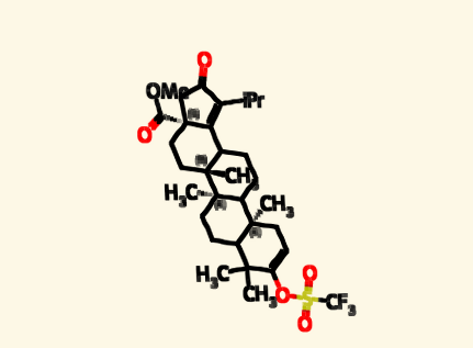 COC(=O)[C@@]12CC[C@]3(C)C(CCC4[C@@]5(C)CC=C(OS(=O)(=O)C(F)(F)F)C(C)(C)C5CC[C@]43C)C1=C(C(C)C)C(=O)C2